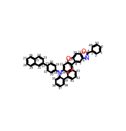 c1ccc(-c2nc3cc4c(cc3o2)oc2cc(N(c3ccc(-c5ccc6ccccc6c5)cc3)c3ccccc3-c3ccccc3)ccc24)cc1